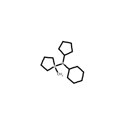 CS1(N(C2CCCCC2)C2CCCC2)CCCC1